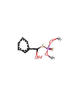 CC(C)OP(=S)(OC(C)C)SC(O)c1ccccc1